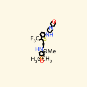 COc1cc(P(C)(C)=O)ccc1NCC#Cc1sc2c(NC3CCN(C4CCOCC4)CC3)cccc2c1CC(F)(F)F